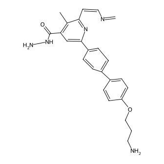 C=N/C=C\c1nc(-c2ccc(-c3ccc(OCCCN)cc3)cc2)cc(C(=O)NN)c1C